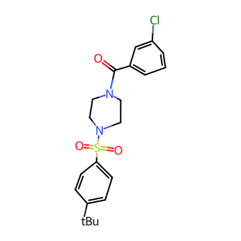 CC(C)(C)c1ccc(S(=O)(=O)N2CCN(C(=O)c3cccc(Cl)c3)CC2)cc1